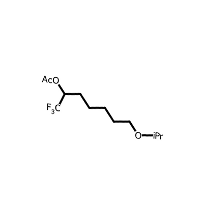 CC(=O)OC(CCCCCOC(C)C)C(F)(F)F